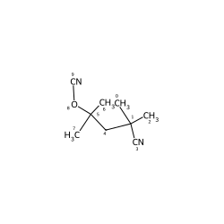 CC(C)(C#N)CC(C)(C)OC#N